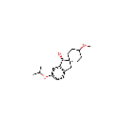 CO[C@H]1CC[C@]2(CC1)Cc1ccc(OC(C)C)cc1C2=O